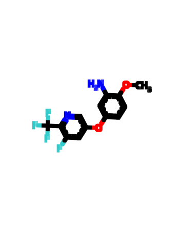 COc1ccc(Oc2cnc(C(F)(F)F)c(F)c2)cc1N